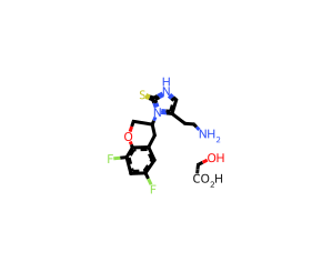 NCCc1c[nH]c(=S)n1C1COc2c(F)cc(F)cc2C1.O=C(O)CO